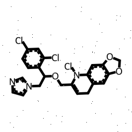 Clc1ccc(C(Cn2ccnc2)OCC2=CCc3cc4c(cc3N2Cl)OCO4)c(Cl)c1